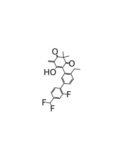 C=C1C(=O)C(C)(C)C(=O)C(c2cc(-c3ccc(C(F)F)cc3F)ccc2CC)=C1O